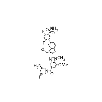 COc1cc(C(=O)N2C[C@H](N)C[C@@H](F)C2)cc2nc(-c3cc4ccc(-c5cc(S(N)(=O)=O)c(F)cc5F)nc4n3CC3CC3)n(C)c12